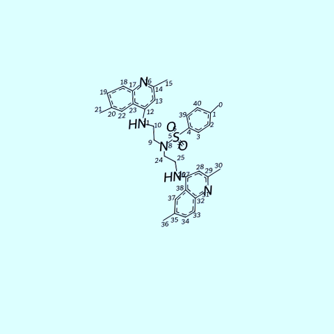 Cc1ccc(S(=O)(=O)N(CCNc2cc(C)nc3ccc(C)cc23)CCNc2cc(C)nc3ccc(C)cc23)cc1